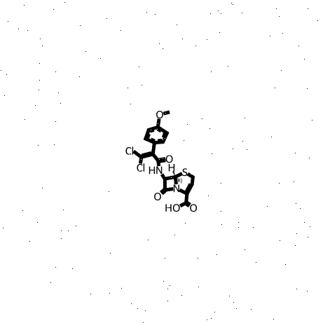 COc1ccc(C(C(=O)NC2C(=O)N3C(C(=O)O)=CCS[C@H]23)=C(Cl)Cl)cc1